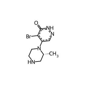 C[C@@H]1CNCCN1c1cn[nH]c(=O)c1Br